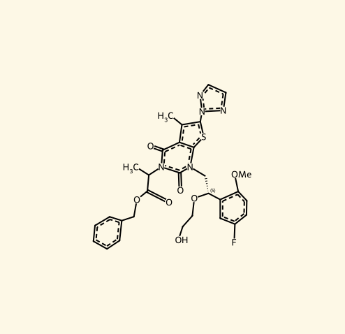 COc1ccc(F)cc1[C@@H](Cn1c(=O)n(C(C)C(=O)OCc2ccccc2)c(=O)c2c(C)c(-n3nccn3)sc21)OCCO